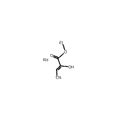 CCOC(=O)C(O)=CC#N.[KH]